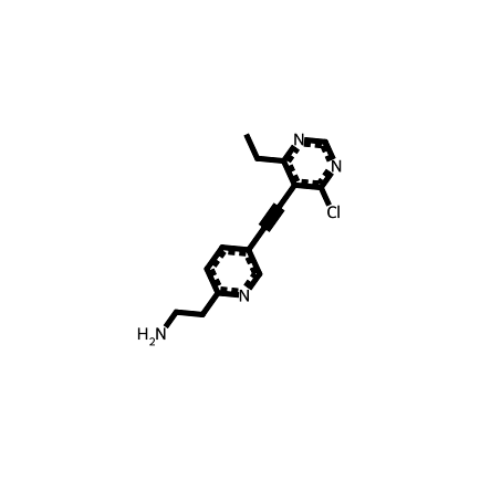 CCc1ncnc(Cl)c1C#Cc1ccc(CCN)nc1